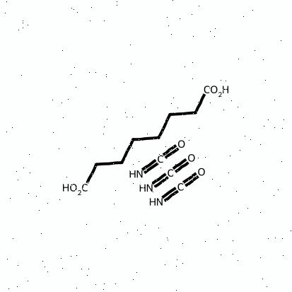 N=C=O.N=C=O.N=C=O.O=C(O)CCCCCCC(=O)O